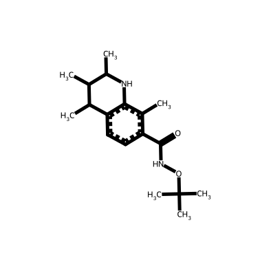 Cc1c(C(=O)NOC(C)(C)C)ccc2c1NC(C)C(C)C2C